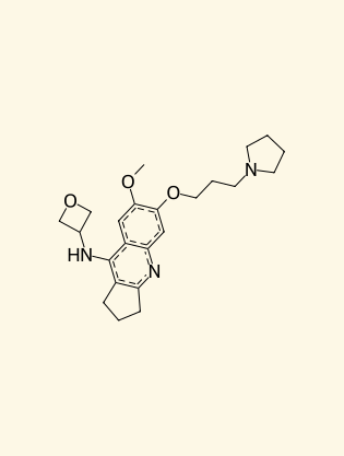 COc1cc2c(NC3COC3)c3c(nc2cc1OCCCN1CCCC1)CCC3